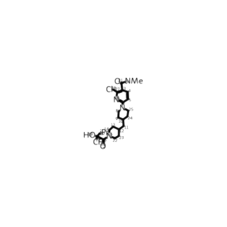 CNC(=O)c1ccc(N2CCC(CC3CCN(C(=O)C(O)(C(C)C)C(F)(F)F)CC3)CC2)nc1Cl